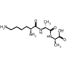 C[C@@H](NC(=O)[C@@H](C)NC(=O)[C@@H](N)CCCCN)C(=O)O